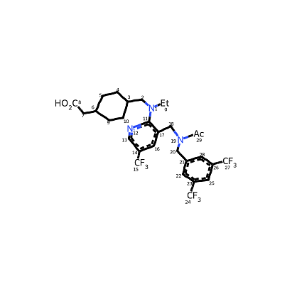 CCN(CC1CCC(CC(=O)O)CC1)c1ncc(C(F)(F)F)cc1CN(Cc1cc(C(F)(F)F)cc(C(F)(F)F)c1)C(C)=O